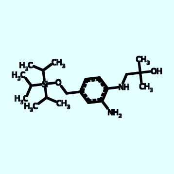 CC(C)[Si](OCc1ccc(NCC(C)(C)O)c(N)c1)(C(C)C)C(C)C